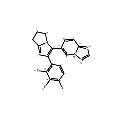 Fc1ccc(-c2nc3n(c2-c2ccc4ncnn4c2)CCC3)c(F)c1F